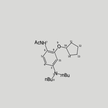 CCCCN(CCCC)c1ccc(NC(C)=O)c(OC2CCCC2)c1